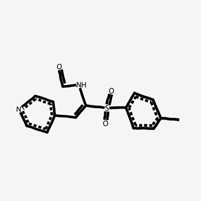 Cc1ccc(S(=O)(=O)C(=Cc2ccncc2)NC=O)cc1